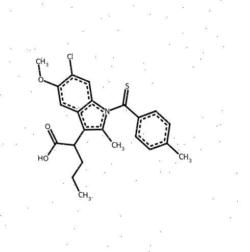 CCCC(C(=O)O)c1c(C)n(C(=S)c2ccc(C)cc2)c2cc(Cl)c(OC)cc12